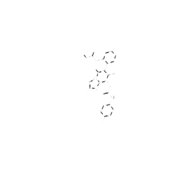 C=CC(=O)Nc1ccccc1-c1c(CC)n(CC(=O)Nc2ccc(F)cc2)c2nc(C)c(C)n2c1=O